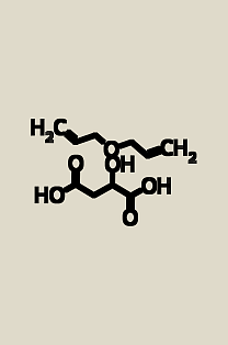 C=CCOCC=C.O=C(O)CC(O)C(=O)O